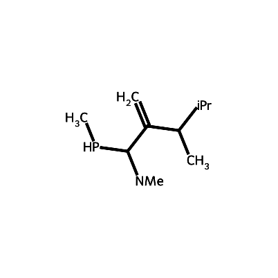 C=C(C(NC)PC)C(C)C(C)C